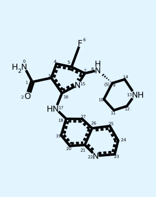 NC(=O)c1cc(F)c(N[C@H]2CCCNC2)nc1Nc1ccc2ncccc2c1